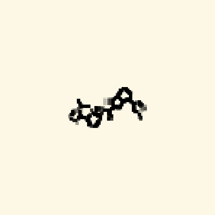 CC(C)n1cnnc1-c1cccc(NC(=O)c2cc3c(-c4cnn(C)c4)cccc3[nH]2)n1